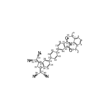 CC(C)c1cccc(C(C)C)c1N1C(=O)c2ccc(C3C=CC(c4ccc5c(c4)C(=C(C#N)C#N)CC5=C(C#N)C#N)C=C3)cc2C1=O